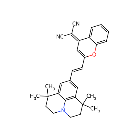 CC1(C)CCN2CCC(C)(C)c3cc(/C=C/C4=CC(=C(C#N)C#N)c5ccccc5O4)cc1c32